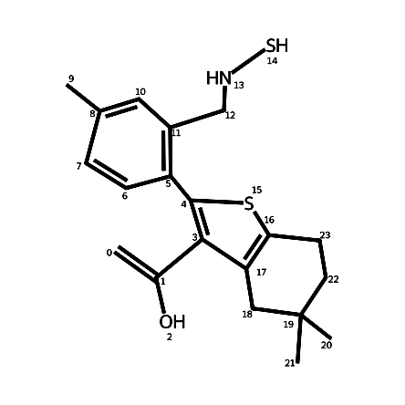 C=C(O)c1c(-c2ccc(C)cc2CNS)sc2c1CC(C)(C)CC2